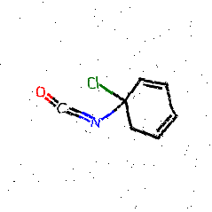 O=C=NC1(Cl)C=CC=CC1